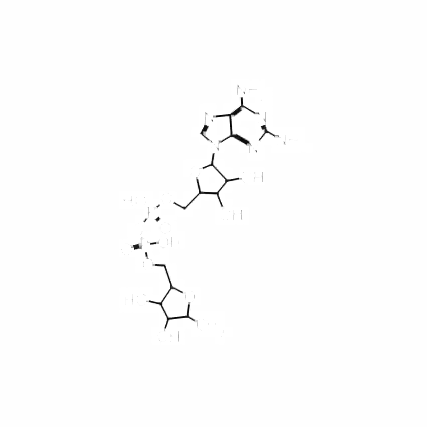 CC1OC(COP(=O)(O)OP(=O)(O)OCC2OC(n3cnc4c(N)nc(N)nc43)C(O)C2O)C(O)C1O